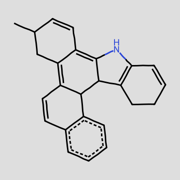 CC1C=CC2=C3NC4=C(CCC=C4)C3C3C(=C2C1)C=Cc1ccccc13